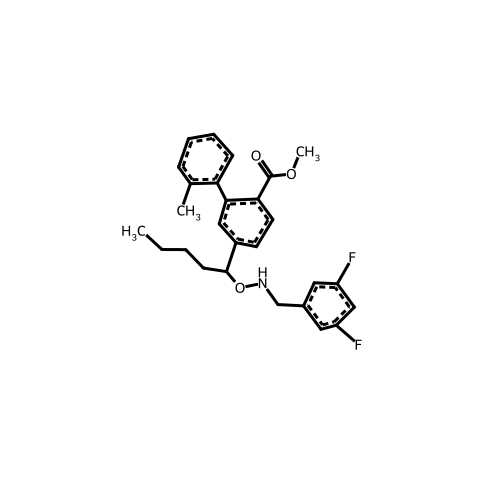 CCCCC(ONCc1cc(F)cc(F)c1)c1ccc(C(=O)OC)c(-c2ccccc2C)c1